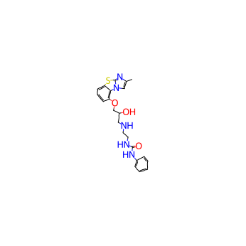 Cc1cn2c(n1)sc1cccc(OCC(O)CNCCNC(=O)Nc3ccccc3)c12